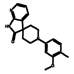 COc1cc(N2CCC3(CC2)C(=O)Nc2ncccc23)ccc1C